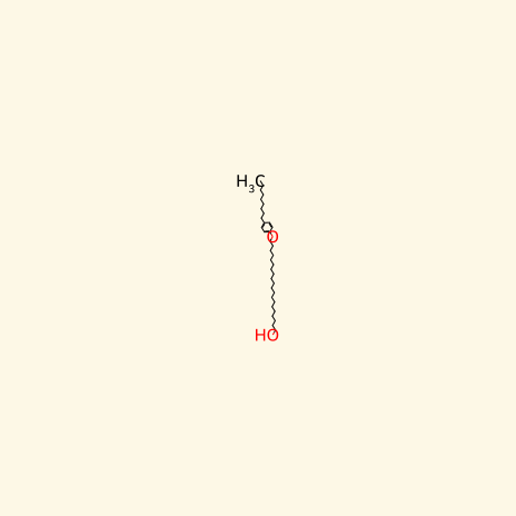 CCCCCCCCCc1ccc(OCCCCCCCCCCCCCCCCCCCCO)cc1